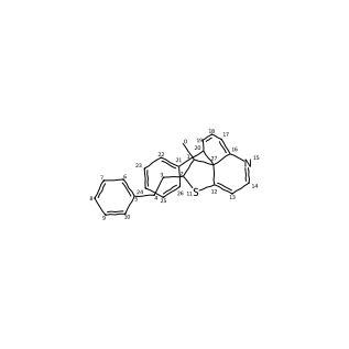 CC1C(CCc2ccccc2)SC2=CC=NC3=CC=CC(c4ccccc4)C321